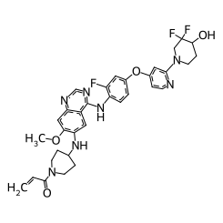 C=CC(=O)N1CCC(Nc2cc3c(Nc4ccc(Oc5ccnc(N6CCC(O)C(F)(F)C6)c5)cc4F)ncnc3cc2OC)CC1